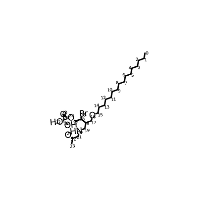 CCCCCCCCCCCCCCCCOCC(CNCC(C)=O)C(Br)COP(=O)(O)O